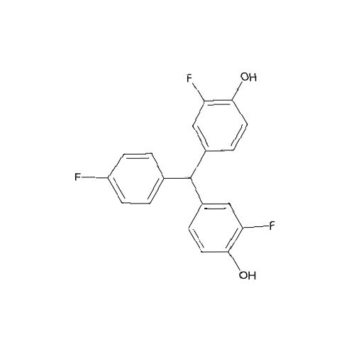 Oc1ccc(C(c2ccc(F)cc2)c2ccc(O)c(F)c2)cc1F